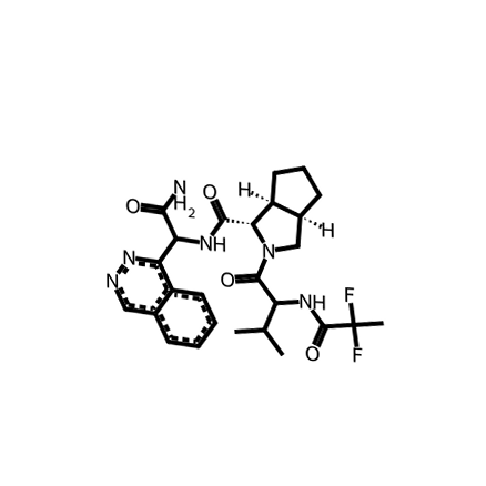 CC(C)C(NC(=O)C(C)(F)F)C(=O)N1C[C@@H]2CCC[C@@H]2[C@H]1C(=O)NC(C(N)=O)c1nncc2ccccc12